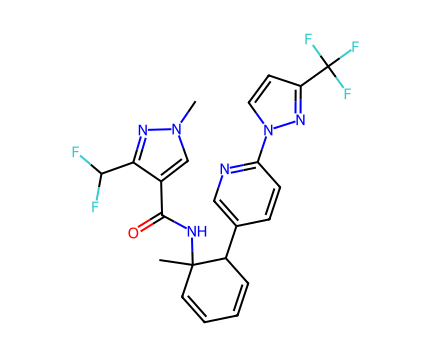 Cn1cc(C(=O)NC2(C)C=CC=CC2c2ccc(-n3ccc(C(F)(F)F)n3)nc2)c(C(F)F)n1